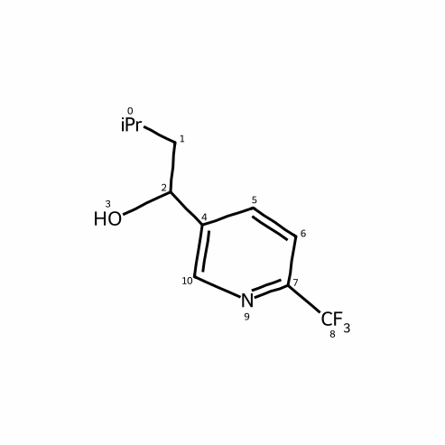 CC(C)CC(O)c1ccc(C(F)(F)F)nc1